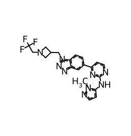 Cn1nccc1Nc1nccc(-c2ccc3c(c2)nnn3CC2CN(CC(F)(F)F)C2)n1